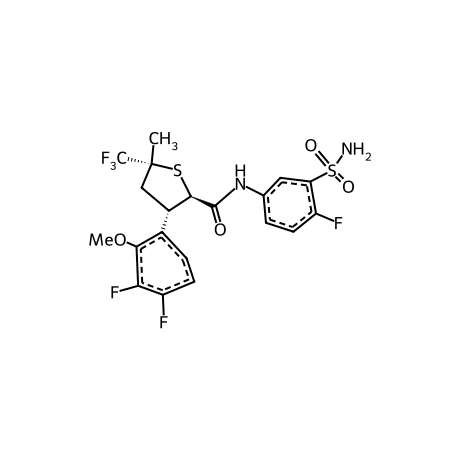 COc1c([C@@H]2C[C@](C)(C(F)(F)F)S[C@H]2C(=O)Nc2ccc(F)c(S(N)(=O)=O)c2)ccc(F)c1F